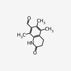 Cc1c(C)c2c(c(C)c1C=O)NC(=O)CC2